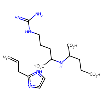 C=CCc1ncc[nH]1.N=C(N)NCCCC(NC(CCC(=O)O)C(=O)O)C(=O)O